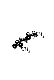 CCc1ccc(OC(C)CCOc2ccc(CCC(=O)OC)c(C)c2)c([S+]([O-])c2ccccc2)c1